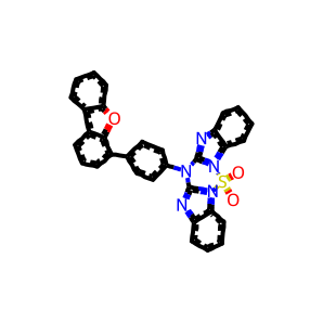 O=S1(=O)n2c(nc3ccccc32)N(c2ccc(-c3cccc4c3oc3ccccc34)cc2)c2nc3ccccc3n21